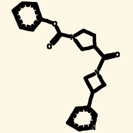 O=C(Oc1ccccc1)N1CCC(C(=O)N2CC(c3cccnc3)C2)C1